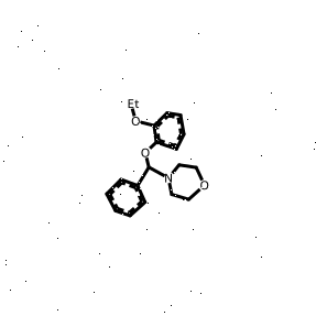 CCOc1ccccc1OC(c1ccccc1)N1CCOCC1